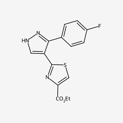 CCOC(=O)c1csc(-c2c[nH]nc2-c2ccc(F)cc2)n1